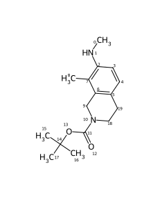 CNc1ccc2c(c1C)CN(C(=O)OC(C)(C)C)CC2